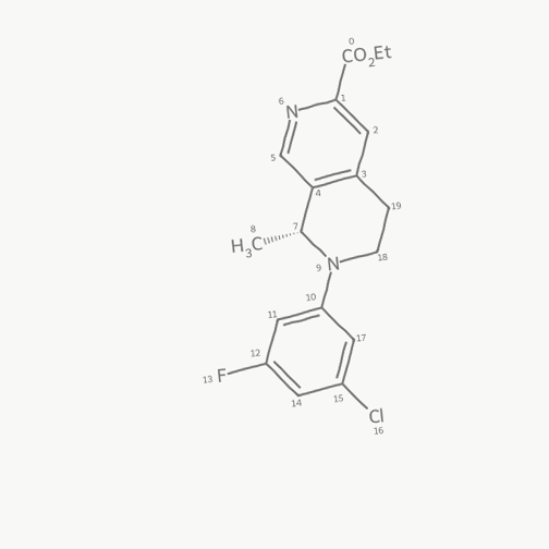 CCOC(=O)c1cc2c(cn1)[C@@H](C)N(c1cc(F)cc(Cl)c1)CC2